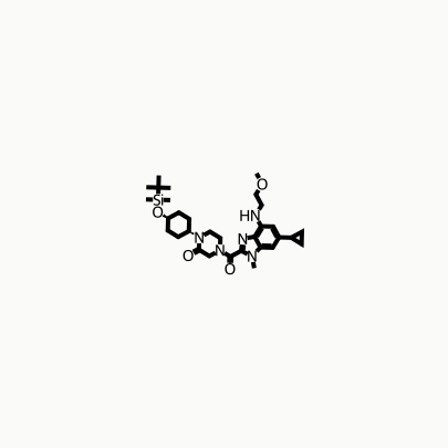 COCCNc1cc(C2CC2)cc2c1nc(C(=O)N1CCN([C@H]3CC[C@H](O[Si](C)(C)C(C)(C)C)CC3)C(=O)C1)n2C